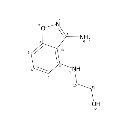 Nc1noc2cccc(NCCO)c12